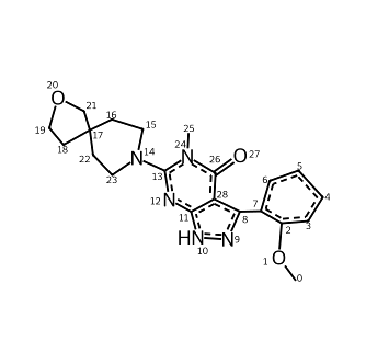 COc1ccccc1-c1n[nH]c2nc(N3CCC4(CCOC4)CC3)n(C)c(=O)c12